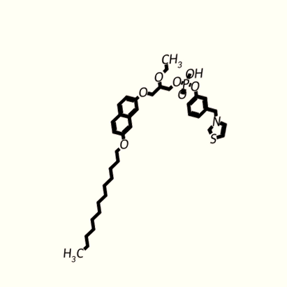 CCCCCCCCCCCCCOc1ccc2ccc(OCC(COP(=O)(O)Oc3cccc(CN4C=CSC4)c3)OCC)cc2c1